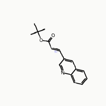 CC(C)(C)OC(=O)/C=C/c1cnc2ccccc2c1